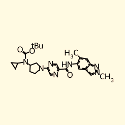 Cc1cc2nn(C)cc2cc1NC(=O)c1cnc(N2CCC(N(C(=O)OC(C)(C)C)C3CC3)C2)cn1